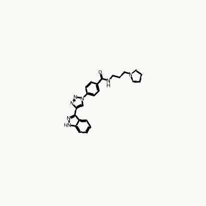 O=C(NCCCN1CCCC1)c1ccc(-n2cc(-c3n[nH]c4ccccc34)nn2)cc1